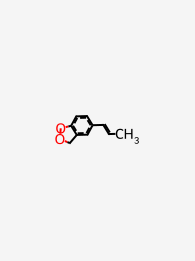 CC=Cc1ccc2c(c1)COO2